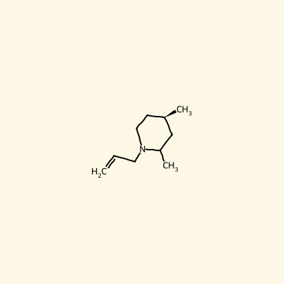 C=CCN1CC[C@@H](C)CC1C